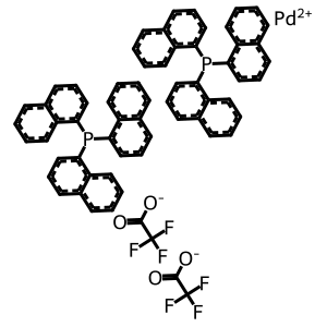 O=C([O-])C(F)(F)F.O=C([O-])C(F)(F)F.[Pd+2].c1ccc2c(P(c3cccc4ccccc34)c3cccc4ccccc34)cccc2c1.c1ccc2c(P(c3cccc4ccccc34)c3cccc4ccccc34)cccc2c1